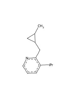 CC(C)c1cccnc1CC1CC1C